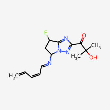 C=C/C=C\C=N\C1CC(F)c2nc(C(=O)C(C)(C)O)nn21